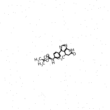 C[C@@H]1CC(=O)Nc2ncnc(-c3ccc(NC(=O)OC(C)(C)C)cc3)c21